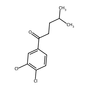 CC(C)CCC(=O)c1ccc(Cl)c(Cl)c1